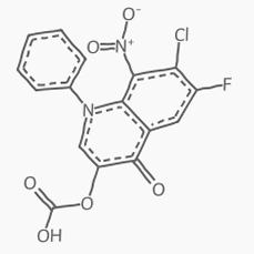 O=C(O)Oc1cn(-c2ccccc2)c2c([N+](=O)[O-])c(Cl)c(F)cc2c1=O